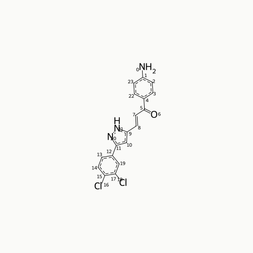 Nc1ccc(C(=O)C=Cc2cc(-c3ccc(Cl)c(Cl)c3)n[nH]2)cc1